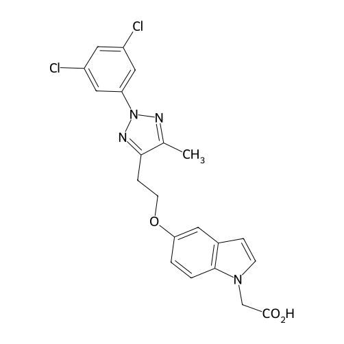 Cc1nn(-c2cc(Cl)cc(Cl)c2)nc1CCOc1ccc2c(ccn2CC(=O)O)c1